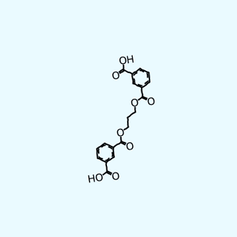 O=C(O)c1cccc(C(=O)OCCCOC(=O)c2cccc(C(=O)O)c2)c1